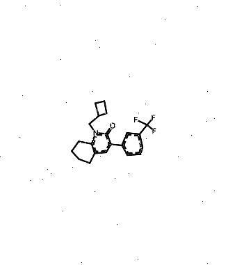 O=c1c(-c2cccc(C(F)(F)F)c2)cc2c(n1CC1CCC1)CCCC2